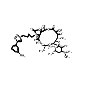 CC[C@H]1OC(=O)C(C)C(=O)[C@H](C)[C@@H](O[C@@H]2O[C@H](C)CC(N(C)C)C2O)[C@](C)(OC)C[C@@H](C)CNC(=O)[C@H]2N(CCCCn3cc(-c4cccc(N)c4)nn3)C(=O)O[C@]12C